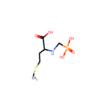 CSCCC(NCP(=O)(O)O)C(=O)O